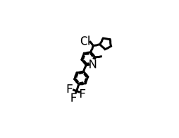 Cc1nc(-c2ccc(C(F)(F)F)cc2)ccc1C(Cl)C1CCCC1